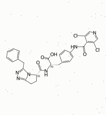 O=C(Nc1ccc(C[C@H](NC(=O)[C@@H]2CCc3nnc(Cc4ccccc4)n32)C(=O)O)cc1)c1c(Cl)cncc1Cl